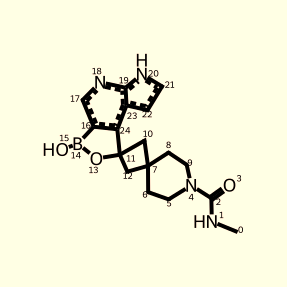 CNC(=O)N1CCC2(CC1)CC1(C2)OB(O)c2cnc3[nH]ccc3c21